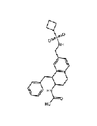 O=C(O)NC1CCc2ccc(CNS(=O)(=O)C3CCC3)cc2C1Cc1ccccc1